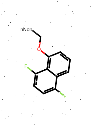 CCCCCCCCCCOc1cccc2c(F)ccc(F)c12